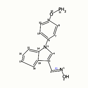 O/N=C/c1cn(-c2ccc(OP)cc2)c2ccccc12